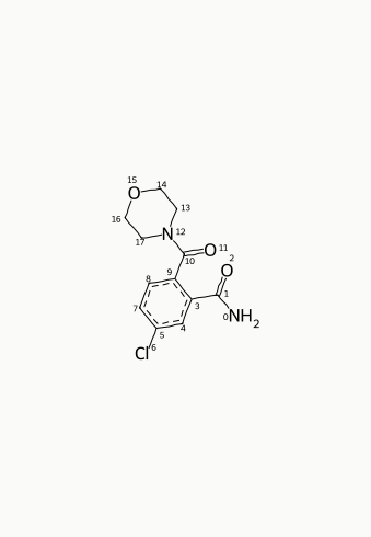 NC(=O)c1cc(Cl)ccc1C(=O)N1CCOCC1